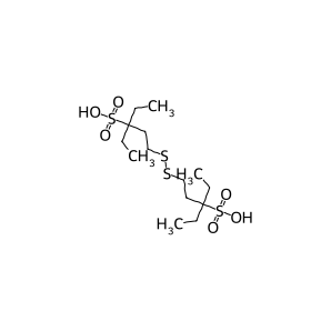 CCC(CC)(CCSSCCC(CC)(CC)S(=O)(=O)O)S(=O)(=O)O